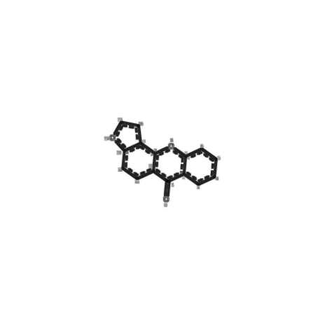 O=c1c2ccccc2oc2c1ccc1occc12